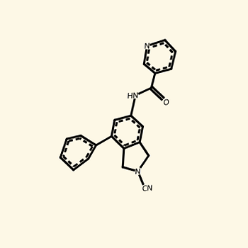 N#CN1Cc2cc(NC(=O)c3cccnc3)cc(-c3ccccc3)c2C1